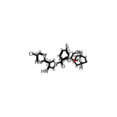 C[C@H](CO)CN1[C@@H]2CC[C@H]1C[C@@H](Oc1cc(F)ccc1C(=O)N1CC(=N)/C(=C3/N=CC(Cl)=CN3)C1)C2